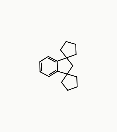 c1ccc2c(c1)C1(CCCC1)CC21CCCC1